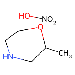 CC1CNCCO1.O=[N+]([O-])O